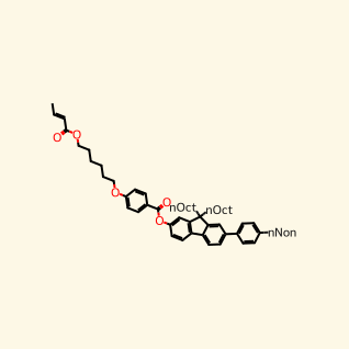 CC=CC(=O)OCCCCCCOc1ccc(C(=O)Oc2ccc3c(c2)C(CCCCCCCC)(CCCCCCCC)c2cc(-c4ccc(CCCCCCCCC)cc4)ccc2-3)cc1